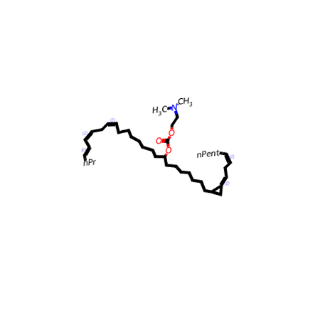 CCC/C=C/C=C\C/C=C\CCCCCCCC(CCCCCCCC1C/C1=C/C/C=C\CCCCC)OC(=O)OCCN(C)C